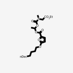 CCCCCCCCCCCCCCOc1ccc(C(=O)OC(C)OC(=O)N(C)CC(=O)OCC)o1